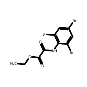 CCOC(=O)C(=O)Nc1c(Br)cc(Br)cc1Br